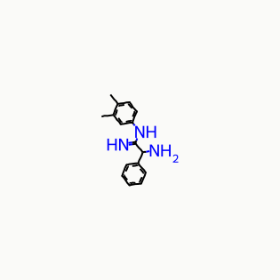 Cc1ccc(NC(=N)C(N)c2ccccc2)cc1C